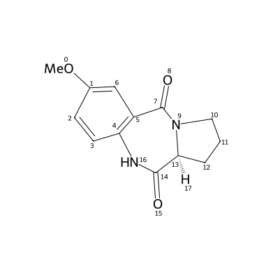 COc1ccc2c(c1)C(=O)N1CCC[C@H]1C(=O)N2